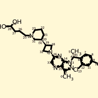 Cc1nn([C@H](C)c2ccc(Cl)cc2Cl)c2nc(N3CC([C@@H]4CCCN(CCCC(O)O)C4)C3)cnc12